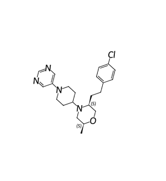 C[C@H]1CN(C2CCN(c3cncnc3)CC2)[C@@H](CCc2ccc(Cl)cc2)CO1